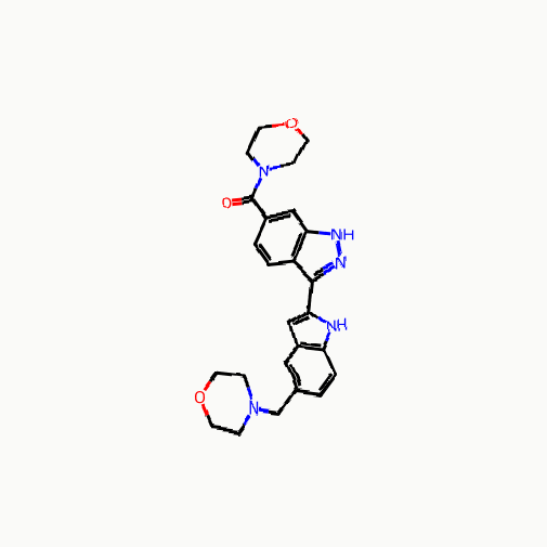 O=C(c1ccc2c(-c3cc4cc(CN5CCOCC5)ccc4[nH]3)n[nH]c2c1)N1CCOCC1